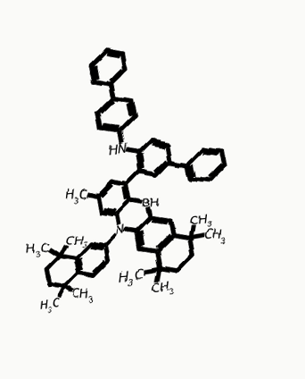 Cc1cc(-c2cc(-c3ccccc3)ccc2Nc2ccc(-c3ccccc3)cc2)c2c(c1)N(c1ccc3c(c1)C(C)(C)CCC3(C)C)c1cc3c(cc1B2)C(C)(C)CCC3(C)C